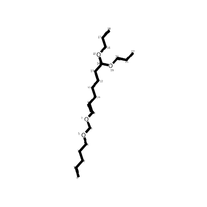 CCCCCOCOC=CCCCCC(OCCC)OCCC